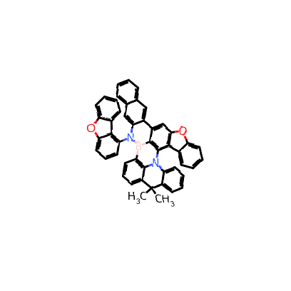 CC1(C)c2ccccc2N2c3c(cccc31)B1c3c(cc4oc5ccccc5c4c32)-c2cc3ccccc3cc2N1c1cccc2oc3ccccc3c12